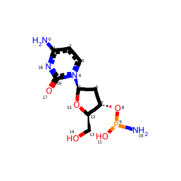 Nc1ccn([C@H]2C[C@H](OP(N)O)[C@@H](CO)O2)c(=O)n1